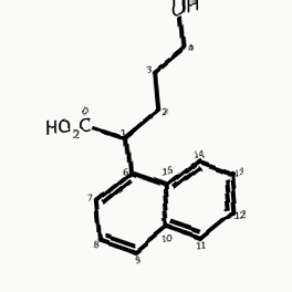 O=C(O)C(CCCO)c1cccc2ccccc12